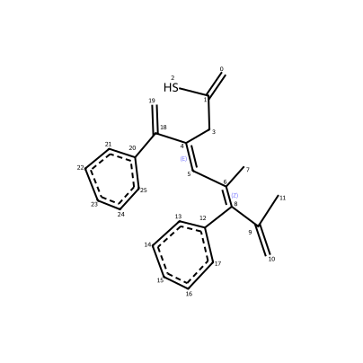 C=C(S)C/C(=C\C(C)=C(\C(=C)C)c1ccccc1)C(=C)c1ccccc1